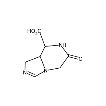 O=C1CN2C=NCC2C(C(=O)O)N1